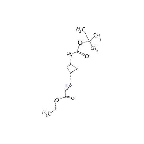 CCOC(=O)/C=C/C1CC(NC(=O)OC(C)(C)C)C1